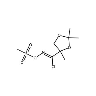 CC1(C)OCC(C)(C(Cl)=NOS(C)(=O)=O)O1